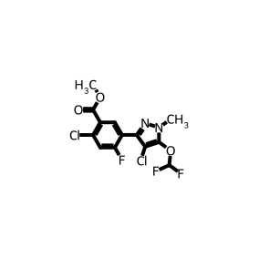 COC(=O)c1cc(-c2nn(C)c(OC(F)F)c2Cl)c(F)cc1Cl